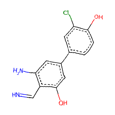 N=Cc1c(N)cc(-c2ccc(O)c(Cl)c2)cc1O